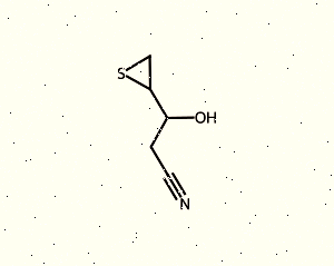 N#CCC(O)C1CS1